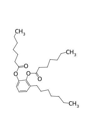 CCCCCCCc1cccc(OC(=O)CCCCCC)c1OC(=O)CCCCCC